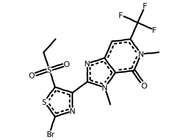 CCS(=O)(=O)c1sc(Br)nc1-c1nc2cc(C(F)(F)F)n(C)c(=O)c2n1C